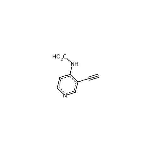 C#Cc1cnccc1NC(=O)O